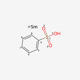 O=S(=O)(O)c1ccccc1.[Sm]